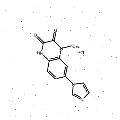 CCCCCCCCCCn1c(=O)c(=O)[nH]c2ccc(-n3ccnc3)cc21.Cl